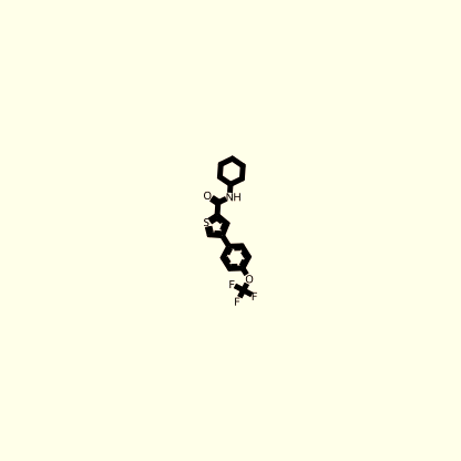 O=C(NC1CC[CH]CC1)c1cc(-c2ccc(OC(F)(F)F)cc2)cs1